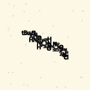 CC(C)(C)c1cc(NC(=O)Nc2ccc(NC(=O)c3ccc(OC4CCN(Cl)CC4)cn3)cc2)no1